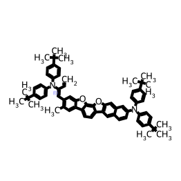 C=C/C(=C\c1cc2oc3c(ccc4c5cc6ccc(N(c7ccc(C(C)(C)C)cc7)c7ccc(C(C)(C)C)cc7)cc6cc5oc43)c2cc1C)N(c1ccc(C(C)(C)C)cc1)c1ccc(C(C)(C)C)cc1